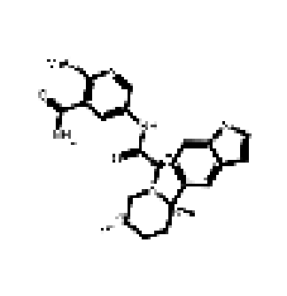 COc1ncc(NC(=O)C(=O)N2C[C@@H](C)CC[C@@]2(C)c2ccc3sccc3c2)cc1C(N)=O